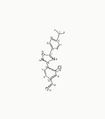 CC(C)c1ccc(-c2nc(-c3ccc(C=O)cc3Cl)no2)cc1